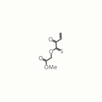 C=CC(=O)C(=S)OCC(=O)OC